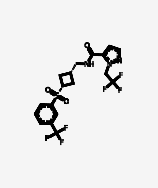 O=C(NC[C@H]1C[C@@H](S(=O)(=O)c2cccc(C(F)(F)F)c2)C1)c1ccnn1CC(F)(F)F